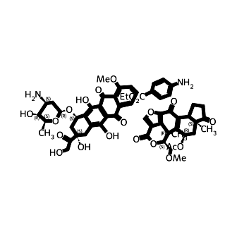 CCOC(=O)c1ccc(N)cc1.COC[C@H]1OC(=O)c2coc3c2[C@@]1(C)C1=C(C3=O)C2CCC(=O)[C@@]2(C)C[C@H]1OC(C)=O.COc1cccc2c1C(=O)c1c(O)c3c(c(O)c1C2=O)C[C@@](O)(C(=O)CO)C[C@@H]3O[C@H]1C[C@H](N)[C@@H](O)[C@H](C)O1